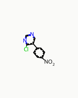 O=[N+]([O-])c1ccc(-c2cncnc2Cl)cc1